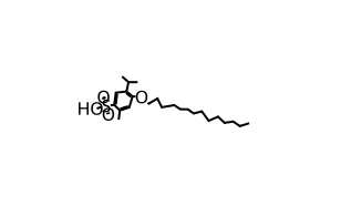 CCCCCCCCCCCCCCOc1cc(C)c(S(=O)(=O)O)cc1C(C)C